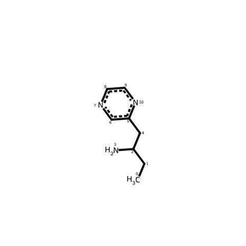 CCC(N)Cc1cnccn1